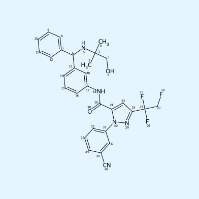 CC(C)(CO)NC(c1ccccc1)c1cccc(NC(=O)c2cc(C(F)(F)CF)nn2-c2cccc(C#N)c2)c1